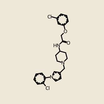 O=C(COc1cccc(Cl)c1)NC1CCN(Cc2ccn(-c3ccccc3Cl)c2)CC1